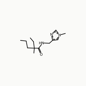 CCCC(C)(CC)C(=O)NCc1cn(C)cn1